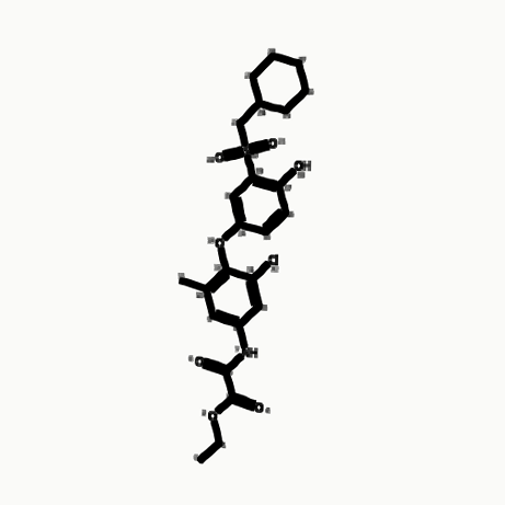 CCOC(=O)C(=O)Nc1cc(C)c(Oc2ccc(O)c(S(=O)(=O)CC3CCCCC3)c2)c(Cl)c1